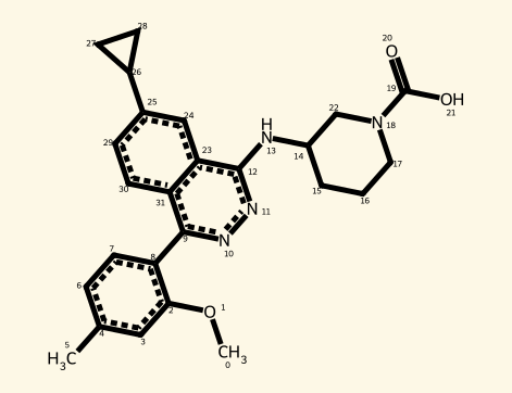 COc1cc(C)ccc1-c1nnc(NC2CCCN(C(=O)O)C2)c2cc(C3CC3)ccc12